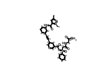 Cc1cc(C(=O)Nc2cccc(C#Cc3cncc(C(=O)N=S(=O)(CC(=O)NCC(N)=O)c4ccccc4)c3)c2)n(C)n1